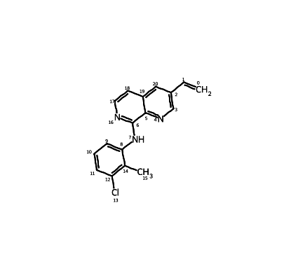 C=Cc1cnc2c(Nc3cccc(Cl)c3C)nccc2c1